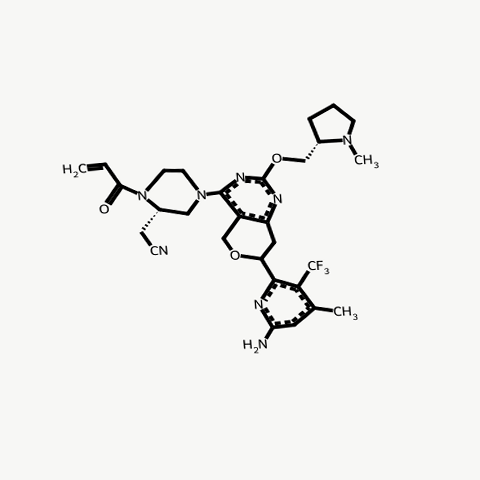 C=CC(=O)N1CCN(c2nc(OC[C@@H]3CCCN3C)nc3c2COC(c2nc(N)cc(C)c2C(F)(F)F)C3)C[C@@H]1CC#N